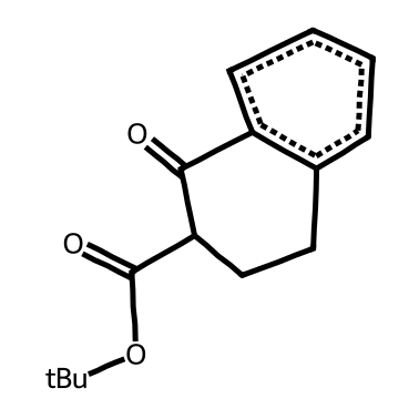 CC(C)(C)OC(=O)C1CCc2ccccc2C1=O